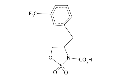 O=C(O)N1C(Cc2cccc(C(F)(F)F)c2)COS1(=O)=O